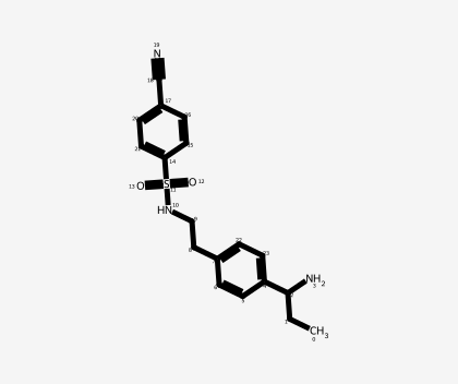 CCC(N)c1ccc(CCNS(=O)(=O)c2ccc(C#N)cc2)cc1